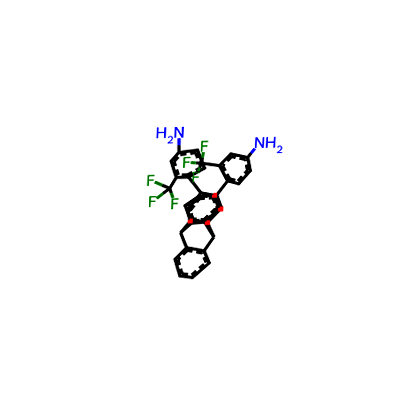 Nc1ccc(-c2ccc3c(c2)C2c4ccccc4C3c3cc(-c4ccc(N)cc4C(F)(F)F)ccc32)c(C(F)(F)F)c1